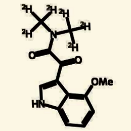 [2H]C([2H])([2H])N(C(=O)C(=O)c1c[nH]c2cccc(OC)c12)C([2H])([2H])[2H]